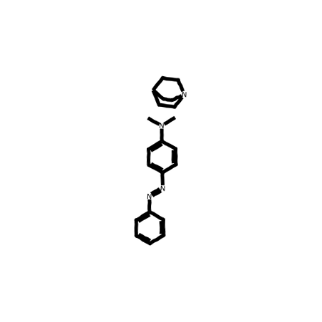 C1CN2CCC1CC2.CN(C)c1ccc(/N=N/c2ccccc2)cc1